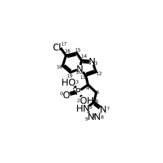 O=P(O)(O)C(Cc1nnn[nH]1)c1cnc2cc(Cl)ccn12